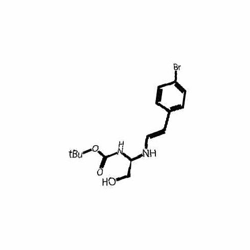 CC(C)(C)OC(=O)N[C@H](CO)N/C=C/c1ccc(Br)cc1